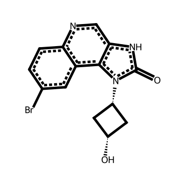 O=c1[nH]c2cnc3ccc(Br)cc3c2n1[C@H]1C[C@@H](O)C1